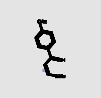 CN/C=C\C(=N)c1ccc(OC(C)=O)cc1